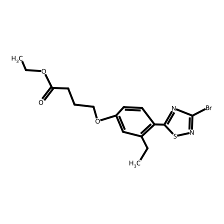 CCOC(=O)CCCOc1ccc(-c2nc(Br)ns2)c(CC)c1